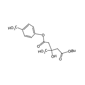 CC(C)COC(=O)CC(O)(CC(=O)Oc1ccc(C(=O)O)cc1)C(=O)O